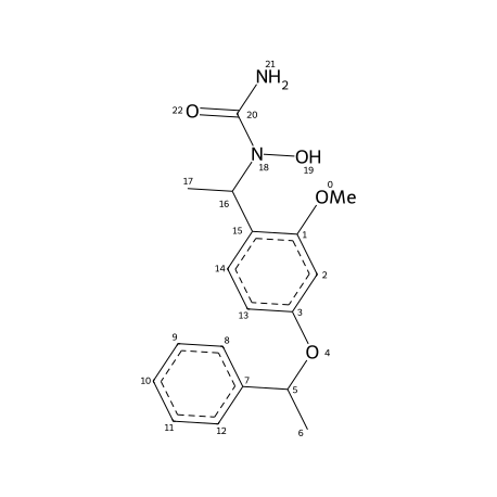 COc1cc(OC(C)c2ccccc2)ccc1C(C)N(O)C(N)=O